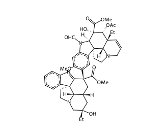 CC[C@]1(O)C[C@H]2C[C@](C(=O)OC)(c3cc4c(cc3OC)N(C=O)[C@H]3[C@@](O)(C(=O)OC)[C@H](OC(C)=O)[C@]5(CC)C=CCN6CC[C@]43[C@@H]65)C3=Nc4ccccc4[C@@]34CCN(C1)[C@@H]24